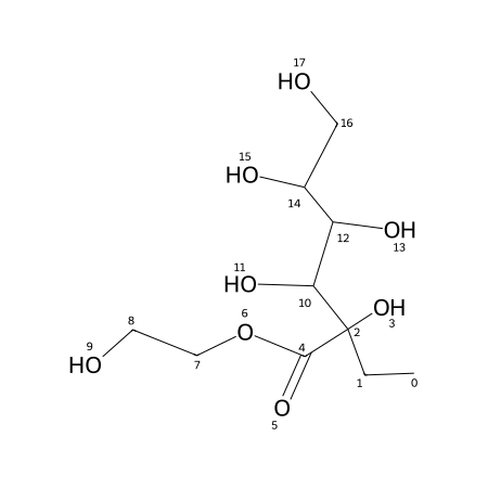 CCC(O)(C(=O)OCCO)C(O)C(O)C(O)CO